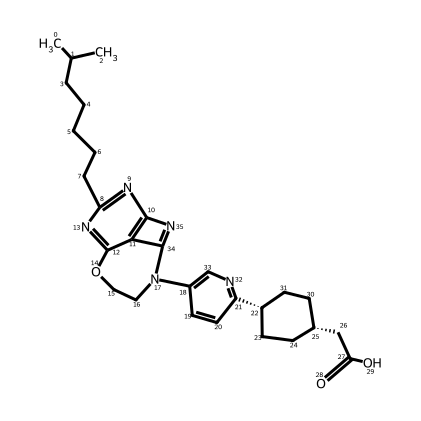 CC(C)CCCCCc1nc2c3c(n1)OCCN(c1ccc([C@H]4CC[C@@H](CC(=O)O)CC4)nc1)C3=N2